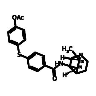 CC(=O)Oc1ccc(Sc2ccc(C(=O)N[C@@H]3C4CCN(CC4)[C@H]3C)cc2)cc1